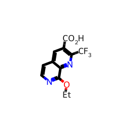 CCOc1nccc2cc(C(=O)O)c(C(F)(F)F)nc12